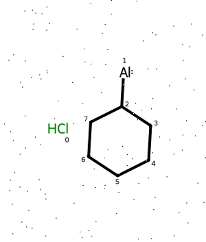 Cl.[Al][CH]1CCCCC1